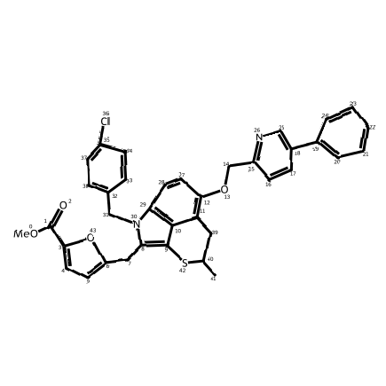 COC(=O)c1ccc(Cc2c3c4c(c(OCc5ccc(-c6ccccc6)cn5)ccc4n2Cc2ccc(Cl)cc2)CC(C)S3)o1